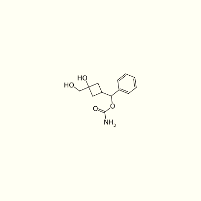 NC(=O)OC(c1ccccc1)C1CC(O)(CO)C1